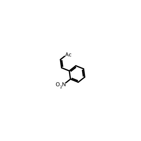 CC(=O)/C=C\c1ccccc1[N+](=O)[O-]